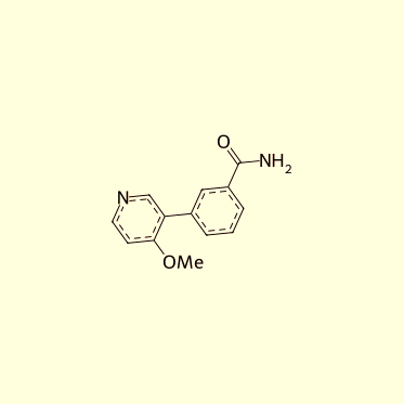 COc1ccncc1-c1cccc(C(N)=O)c1